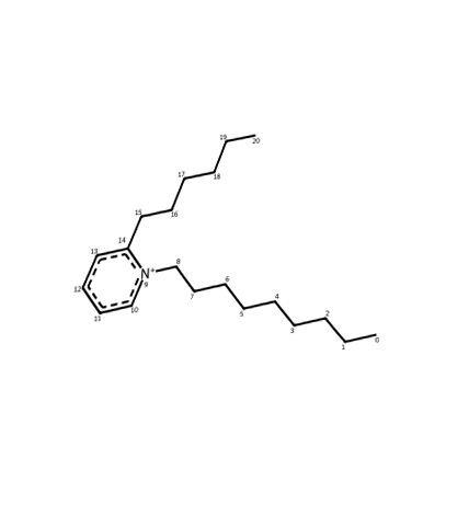 CCCCCCCCC[n+]1ccccc1CCCCCC